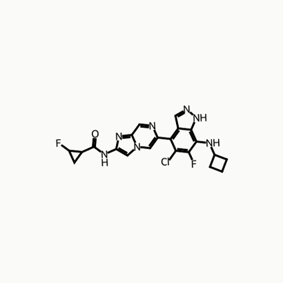 O=C(Nc1cn2cc(-c3c(Cl)c(F)c(NC4CCC4)c4[nH]ncc34)ncc2n1)C1CC1F